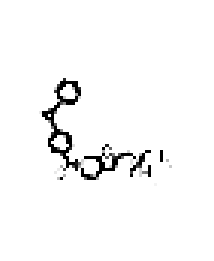 CN(C)Cc1cc2c(o1)CN(C(=O)c1ccc(C3CC3c3ccccc3)cc1)CC2